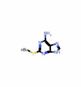 CCCCSc1nc(N)c2nc[nH]c2n1